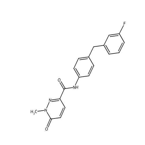 Cn1nc(C(=O)Nc2ccc(Cc3cccc(F)c3)cc2)ccc1=O